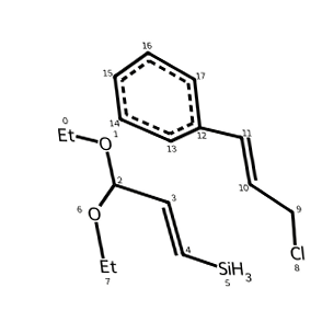 CCOC(C=C[SiH3])OCC.ClCC=Cc1ccccc1